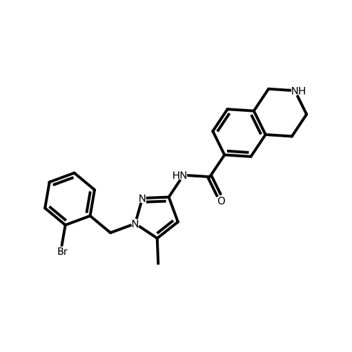 Cc1cc(NC(=O)c2ccc3c(c2)CCNC3)nn1Cc1ccccc1Br